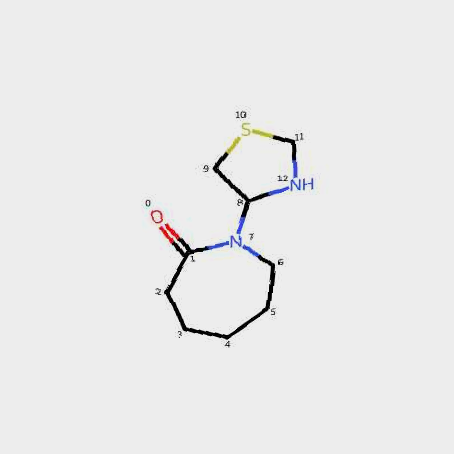 O=C1CCCCCN1C1CSCN1